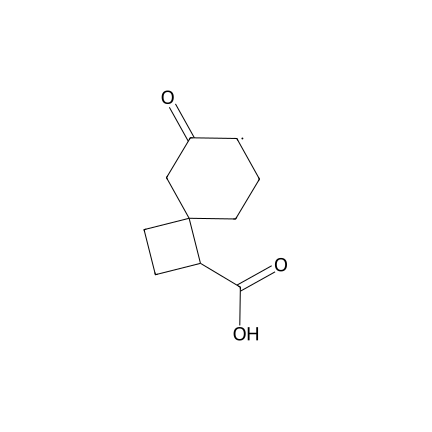 O=C1[CH]CCC2(CCC2C(=O)O)C1